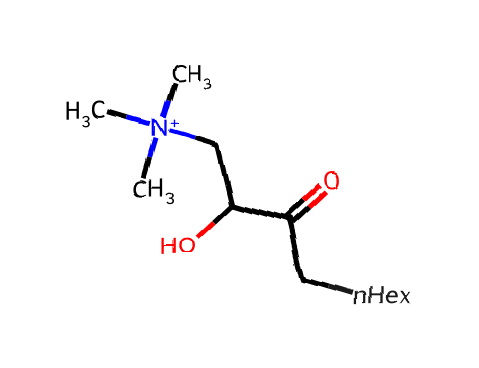 CCCCCCCC(=O)C(O)C[N+](C)(C)C